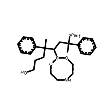 CCCCCC(C)(CC(B1OCCNCCO1)C(C)(CCCO)c1ccccc1)c1ccccc1